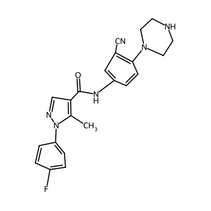 Cc1c(C(=O)Nc2ccc(N3CCNCC3)c(C#N)c2)cnn1-c1ccc(F)cc1